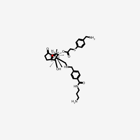 C[C@@H]1CC[C@@]23CCC(=O)[C@H]2[C@]1(C)[C@H](OC(=O)CSc1ccc(CN)cc1)C[C@](C)(CNCc1ccc(C(=O)NCCCN)cc1)C(O)[C@@H]3C